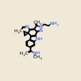 C=C(NC)c1ccc2c3c([nH]c2c1)-c1nn(CCN)c(=C)c1=C(/N=C\C)C31CC1